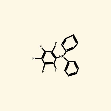 Fc1c(F)c(F)c([SH](c2ccccc2)c2ccccc2)c(F)c1F